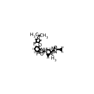 CC(C)N1CC(F)[C@@H](O[C@H]2CCCC(F)(F)C2NC(=O)N2CCC(C)(c3noc(C4CC4)n3)C3CC32)C1